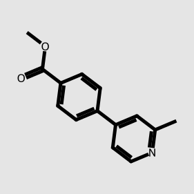 COC(=O)c1ccc(-c2ccnc(C)c2)cc1